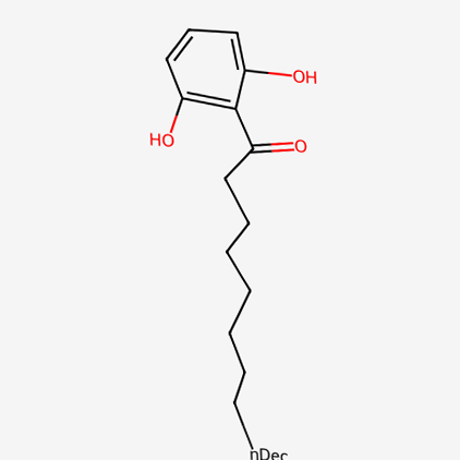 CCCCCCCCCCCCCCCCCC(=O)c1c(O)cccc1O